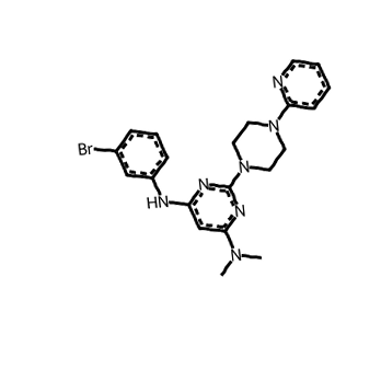 CN(C)c1cc(Nc2cccc(Br)c2)nc(N2CCN(c3ccccn3)CC2)n1